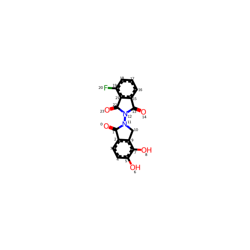 O=C1c2ccc(O)c(O)c2CN1N1C(=O)c2cccc(F)c2C1=O